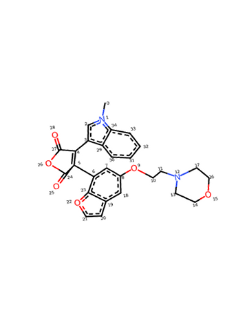 Cn1cc(C2=C(c3cc(OCCN4CCOCC4)cc4ccoc34)C(=O)OC2=O)c2ccccc21